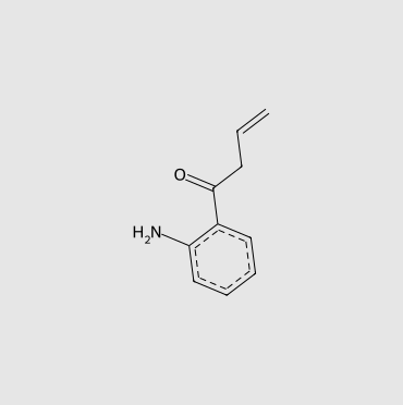 C=CCC(=O)c1ccccc1N